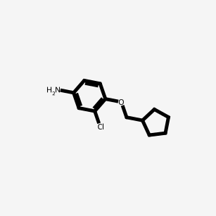 Nc1ccc(OCC2CCCC2)c(Cl)c1